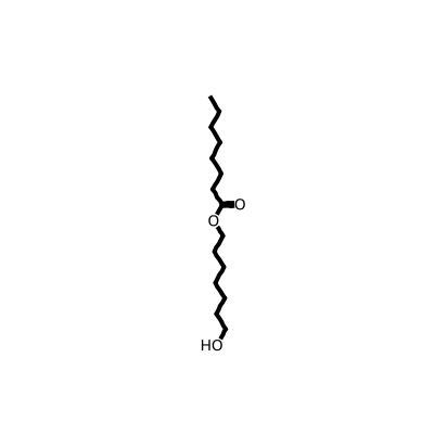 CCCCCCCC(=O)OCCCCCCCO